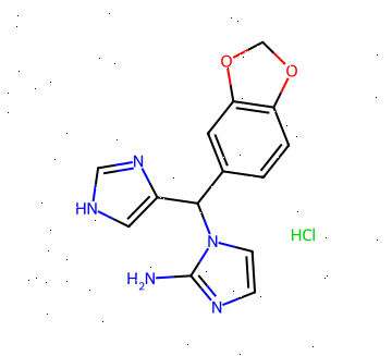 Cl.Nc1nccn1C(c1ccc2c(c1)OCO2)c1c[nH]cn1